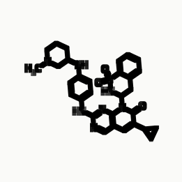 CN1CCCC(Nc2ccc(Nc3ncc4cc(C5CC5)c(=O)n(C5Cc6ccccc6S(=O)(=O)N5)c4n3)cc2)C1